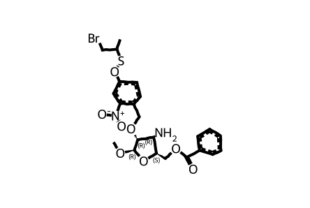 CO[C@@H]1O[C@H](COC(=O)c2ccccc2)[C@@H](N)[C@H]1OCc1ccc(OSC(C)CBr)cc1[N+](=O)[O-]